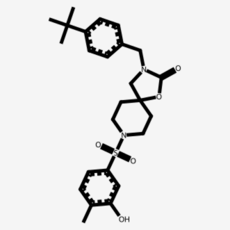 Cc1ccc(S(=O)(=O)N2CCC3(CC2)CN(Cc2ccc(C(C)(C)C)cc2)C(=O)O3)cc1O